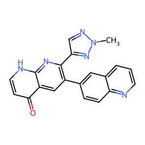 Cn1ncc(-c2nc3[nH]ccc(=O)c3cc2-c2ccc3ncccc3c2)n1